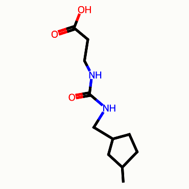 CC1CCC(CNC(=O)NCCC(=O)O)C1